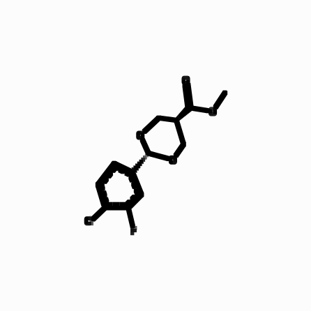 COC(=O)[C@H]1CO[C@H](c2ccc(Cl)c(F)c2)OC1